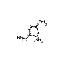 N=Cc1ccc(P)cc1N